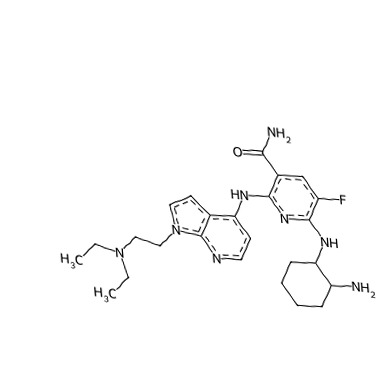 CCN(CC)CCn1ccc2c(Nc3nc(NC4CCCCC4N)c(F)cc3C(N)=O)ccnc21